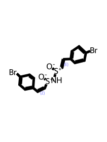 [O-][S+](/C=C\c1ccc(Br)cc1)N[S+]([O-])/C=C/c1ccc(Br)cc1